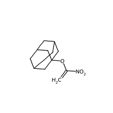 C=C(OC12CC3CC(CC(C3)C1)C2)[N+](=O)[O-]